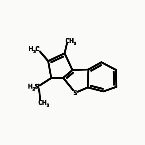 C[SiH2]C1C(C)=C(C)c2c1sc1ccccc21